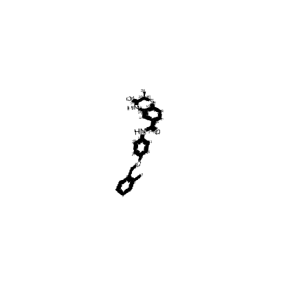 Cc1ccccc1COc1ccc(NC(=O)c2ccc3c(c2)NC(=O)[C@@H](C)S3)cc1